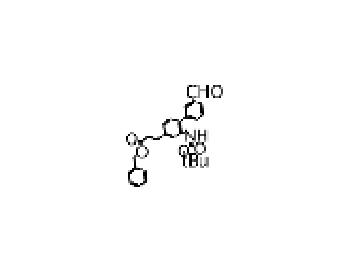 CC(C)(C)OC(=O)Nc1cc(CCC(=O)OCc2ccccc2)ccc1-c1cccc(C=O)c1